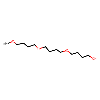 CCCOCCCCOCCCCOCCCCO